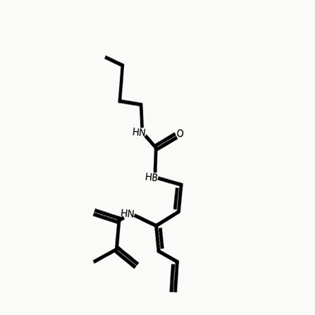 C=C/C=C(\C=C/BC(=O)NCCCC)NC(=C)C(=C)C